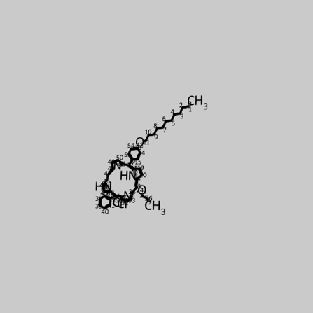 CCCCCCCCCCCCOc1ccc(C2=c3ccc([nH]3)=C(OCCC)C3=NC(Cl)(C=C3)C(Cl)(c3ccccc3)c3ccc([nH]3)C=C3C=CC2=N3)cc1